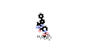 CC(C)(C)OC(=O)N1CCCc2nc(C3(c4cccc(C5CCCCC5)c4)CC3)[nH]c(=O)c2C1